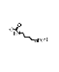 CCCCCCCCCNC([O])=O